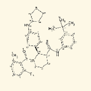 Cc1cccc(F)c1C(=O)N1CCCC(C(=O)Nc2cccc(C(C)(C)C)c2)[C@@H]1c1ccc(NC2CCCC2)cc1